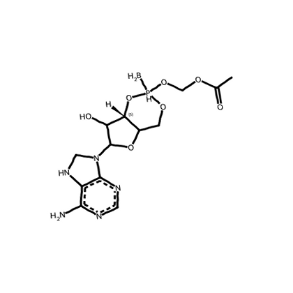 B[PH]1(OCOC(C)=O)OCC2OC(N3CNc4c(N)ncnc43)C(O)[C@@H]2O1